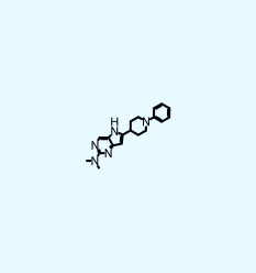 CN(C)c1ncc2[nH]c(C3CCN(c4ccccc4)CC3)cc2n1